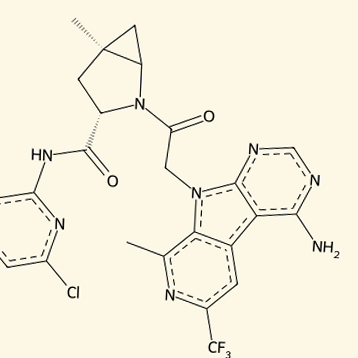 Cc1nc(C(F)(F)F)cc2c3c(N)ncnc3n(CC(=O)N3C4C[C@]4(C)C[C@H]3C(=O)Nc3cccc(Cl)n3)c12